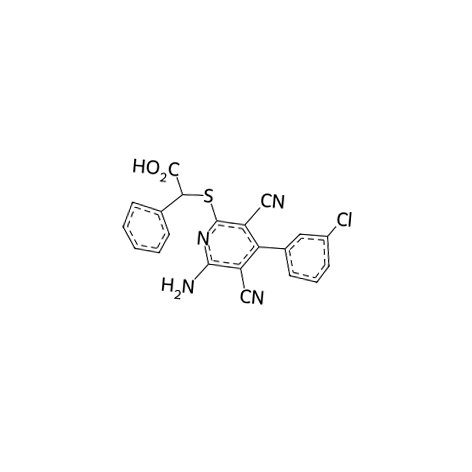 N#Cc1c(N)nc(SC(C(=O)O)c2ccccc2)c(C#N)c1-c1cccc(Cl)c1